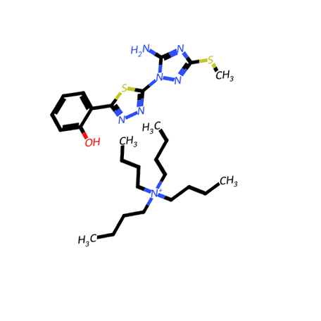 CCCC[N+](CCCC)(CCCC)CCCC.CSc1nc(N)n(-c2nnc(-c3ccccc3O)s2)n1